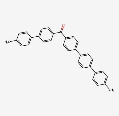 Cc1ccc(-c2ccc(C(=O)c3ccc(-c4ccc(-c5ccc(C)cc5)cc4)cc3)cc2)cc1